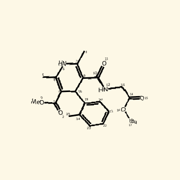 COC(=O)C1=C(C)NC(C)=C(C(=O)NCC(=O)OC(C)(C)C)C1c1ccccc1C